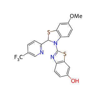 COc1ccc2c(c1)SC(c1ccc(C(F)(F)F)cn1)N2c1nc2ccc(O)cc2s1